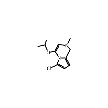 CC(C)OC1=CN(C)Cc2ccc(Cl)n21